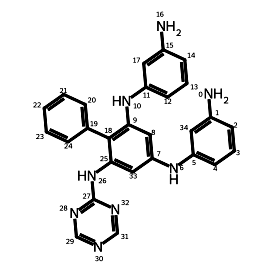 Nc1cccc(Nc2cc(Nc3cccc(N)c3)c(-c3ccccc3)c(Nc3ncncn3)c2)c1